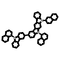 c1ccc2cc(-n3c4ccccc4c4cc5c6cc(-c7ccc8c(c7)c7ccccc7n8-c7cccc8ccccc78)ccc6n(-c6cccc7ccccc67)c5cc43)ccc2c1